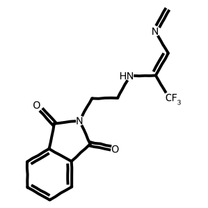 C=N/C=C(\NCCN1C(=O)c2ccccc2C1=O)C(F)(F)F